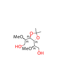 CO[C@H](CO)[C@H]1OC(C)(C)O[C@@H]1[C@@H](CO)OC